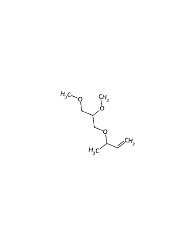 C=CC(C)OCC(COC)OC